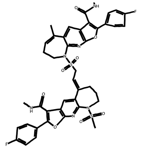 CNC(=O)c1c(-c2ccc(F)cc2)oc2nc3c(cc12)C(=CCS(=O)(=O)N1CCC=C(C)c2cc4c(C(=O)NC)c(-c5ccc(F)cc5)oc4nc21)CCCN3S(C)(=O)=O